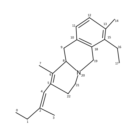 CC/C(C)=C/C1=C(C)C2Cc3ccc(C)c(CC)c3CN2CC1